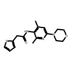 Cc1cc(N2CCOCC2)nc(C)c1NC(=O)Cc1cccs1